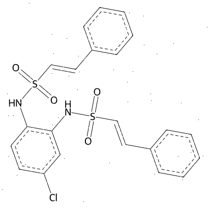 O=S(=O)(/C=C/c1ccccc1)Nc1ccc(Cl)cc1NS(=O)(=O)/C=C/c1ccccc1